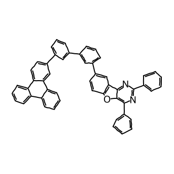 c1ccc(-c2nc(-c3ccccc3)c3oc4ccc(-c5cccc(-c6cccc(-c7ccc8c9ccccc9c9ccccc9c8c7)c6)c5)cc4c3n2)cc1